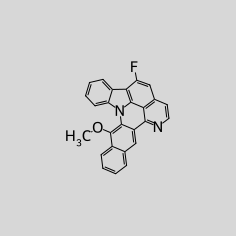 COc1c2ccccc2cc2c3nccc4cc(F)c5c6ccccc6n(c12)c5c43